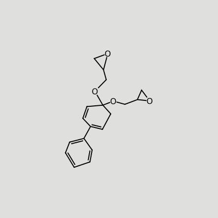 C1=CC(OCC2CO2)(OCC2CO2)CC=C1c1ccccc1